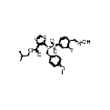 COc1ccc(CN(c2scnc2C(=O)OCC(C)C)S(=O)(=O)c2ccc(/C=N/O)c(F)c2)cc1